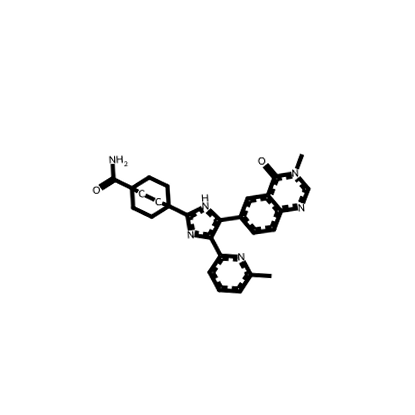 Cc1cccc(-c2nc(C34CCC(C(N)=O)(CC3)CC4)[nH]c2-c2ccc3ncn(C)c(=O)c3c2)n1